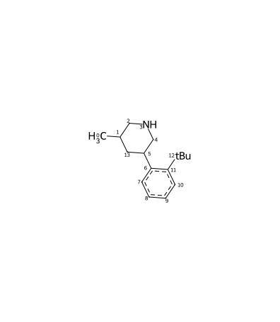 CC1CNCC(c2ccccc2C(C)(C)C)C1